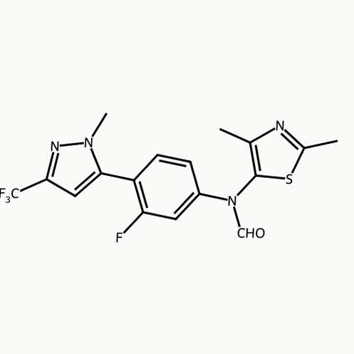 Cc1nc(C)c(N(C=O)c2ccc(-c3cc(C(F)(F)F)nn3C)c(F)c2)s1